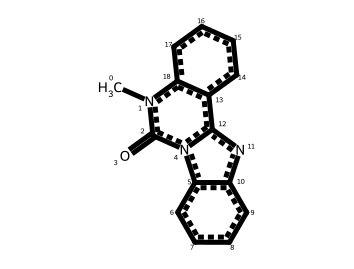 Cn1c(=O)n2c3ccccc3nc2c2ccccc21